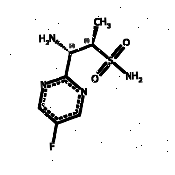 C[C@H]([C@@H](N)c1ncc(F)cn1)S(N)(=O)=O